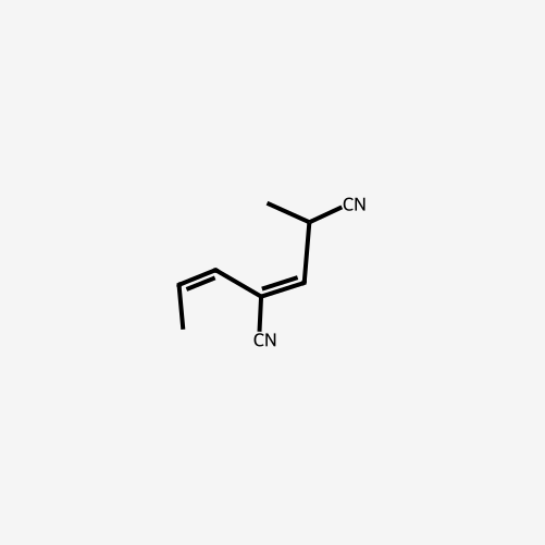 C/C=C\C(C#N)=C/C(C)C#N